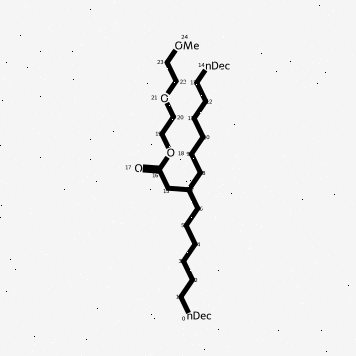 CCCCCCCCCCCCCCCCC(CCCCCCCCCCCCCCCC)CC(=O)OCCOCCOC